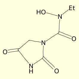 CCN(O)C(=O)N1CC(=O)NC1=O